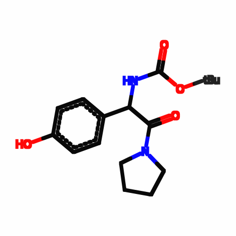 CC(C)(C)OC(=O)NC(C(=O)N1CCCC1)c1ccc(O)cc1